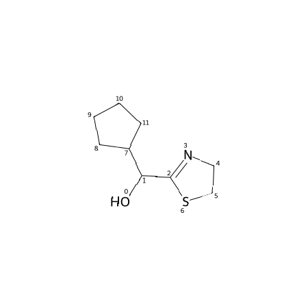 OC(C1=NCCS1)C1CCCC1